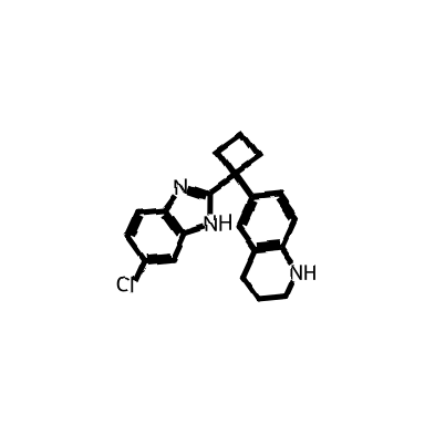 Clc1ccc2nc(C3(c4ccc5c(c4)CCCN5)CCC3)[nH]c2c1